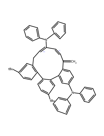 C=C1/C=C\C(N(c2ccccc2)c2ccccc2)=C/Cc2cc(C(C)(C)C)ccc2-c2ccc(C(C)(C)C)cc2-c2cc(N(c3ccccc3)c3ccccc3)ccc21